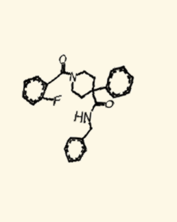 O=C(c1ccccc1F)N1CCC(C(=O)NCc2ccccc2)(c2ccccc2)CC1